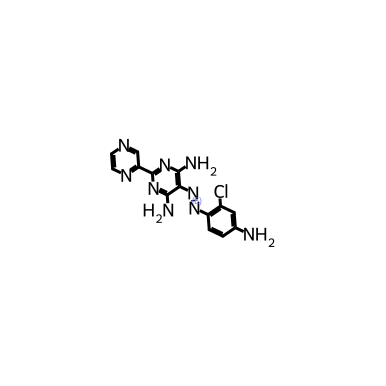 Nc1ccc(/N=N/c2c(N)nc(-c3cnccn3)nc2N)c(Cl)c1